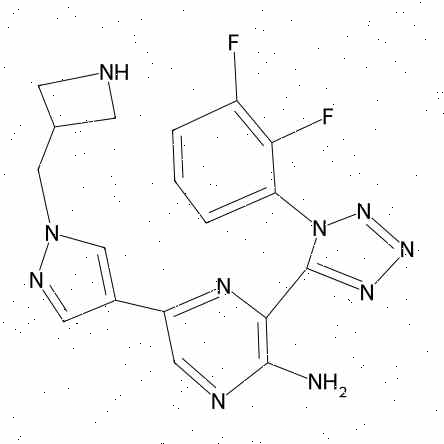 Nc1ncc(-c2cnn(CC3CNC3)c2)nc1-c1nnnn1-c1cccc(F)c1F